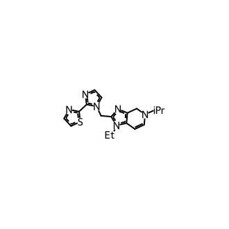 CCn1c(Cn2ccnc2-c2nccs2)nc2c1C=CN(C(C)C)C2